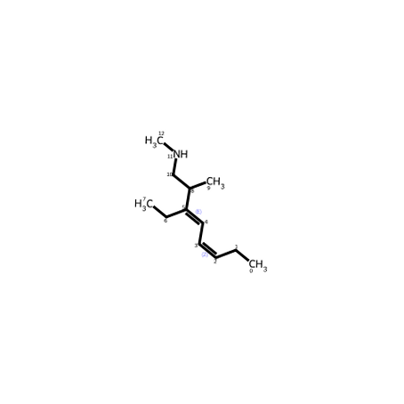 CC/C=C\C=C(/CC)C(C)CNC